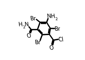 NC(=O)c1c(Br)c(N)c(Br)c(C(=O)Cl)c1Br